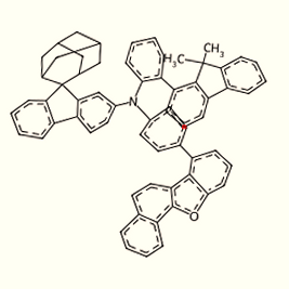 CC1(C)c2ccccc2-c2cccc(-c3ccccc3N(c3ccc(-c4cccc5oc6c7ccccc7ccc6c45)cc3)c3ccc4c(c3)C3(c5ccccc5-4)C4CC5CC(C4)CC3C5)c21